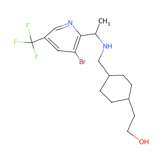 CC(NCC1CCC(CCO)CC1)c1ncc(C(F)(F)F)cc1Br